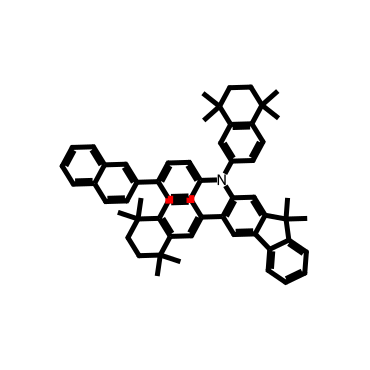 CC1(C)CCC(C)(C)c2cc(-c3cc4c(cc3N(c3ccc(-c5ccc6ccccc6c5)cc3)c3ccc5c(c3)C(C)(C)CCC5(C)C)C(C)(C)c3ccccc3-4)ccc21